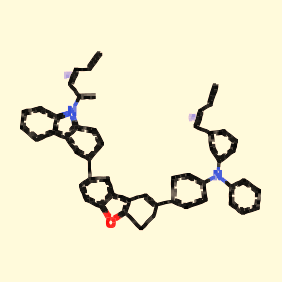 C=C/C=C\C(=C)n1c2ccccc2c2cc(-c3ccc4oc5c(c4c3)C=C(c3ccc(N(c4ccccc4)c4cccc(/C=C\C=C)c4)cc3)CC5)ccc21